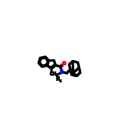 CC1=C(C(=O)N(C)CC23CC4CC(CC(C4)C2)C3)Cc2ccccc21